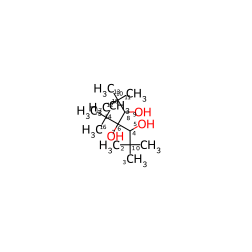 CC(C)(C)C(O)C(O)(C(O)C(C)(C)C)C(C)(C)C